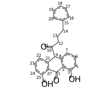 O=C1c2c(O)cccc2C(C(=O)CCCc2ccccc2)c2cccc(O)c21